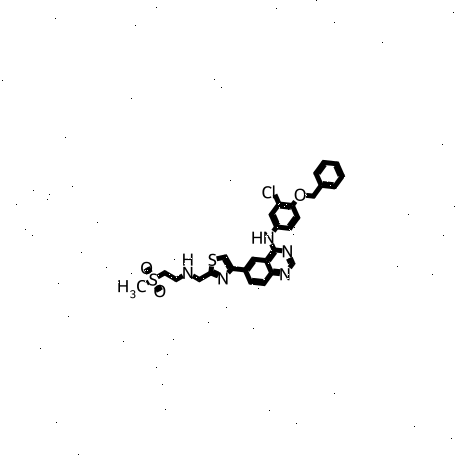 CS(=O)(=O)CCNCc1nc(-c2ccc3ncnc(Nc4ccc(OCc5ccccc5)c(Cl)c4)c3c2)cs1